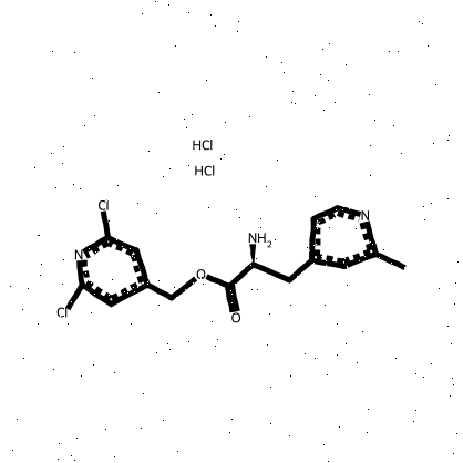 Cc1cc(C[C@H](N)C(=O)OCc2cc(Cl)nc(Cl)c2)ccn1.Cl.Cl